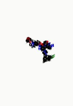 CCOP(NC(=O)c1ccc(N2CCN(CC3=C(c4ccc(Cl)cc4)CC(C)(C)CC3)CC2)cc1N1CCCOc2nc3[nH]ccc3cc21)c1ccc(NC[C@H]2COCCO2)c([N+](=O)[O-])c1